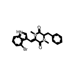 CN1C(=O)C(Cc2ccccc2)N(C)C(=O)/C1=C/c1c[nH]c2cccc(Br)c12